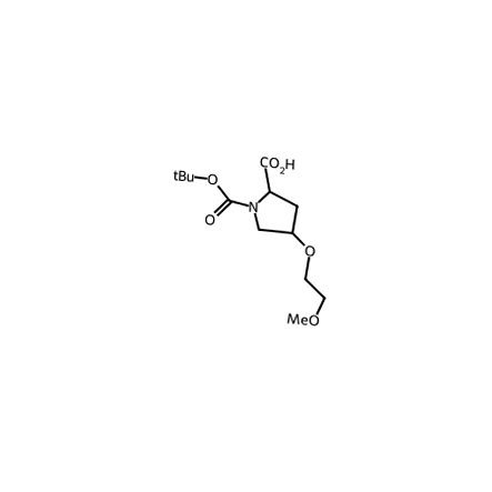 COCCOC1CC(C(=O)O)N(C(=O)OC(C)(C)C)C1